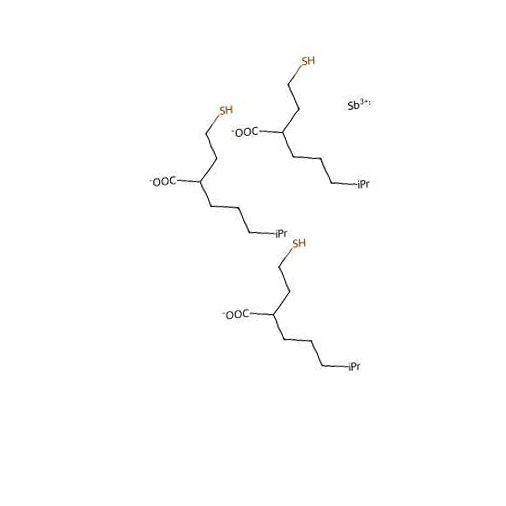 CC(C)CCCC(CCS)C(=O)[O-].CC(C)CCCC(CCS)C(=O)[O-].CC(C)CCCC(CCS)C(=O)[O-].[Sb+3]